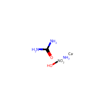 N.NC(N)=O.O=[N+]([O-])O.[Ca]